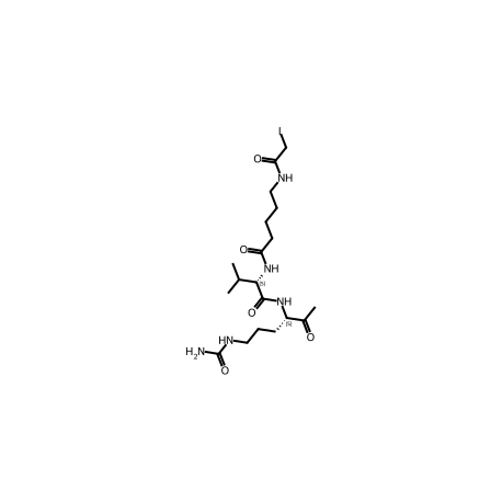 CC(=O)[C@H](CCCNC(N)=O)NC(=O)[C@@H](NC(=O)CCCCNC(=O)CI)C(C)C